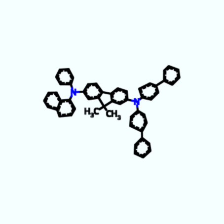 CC1(C)c2cc(N(c3ccc(-c4ccccc4)cc3)c3ccc(-c4ccccc4)cc3)ccc2-c2ccc(N(c3ccccc3)c3cccc4ccccc34)cc21